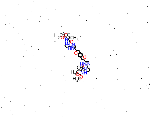 COC(=O)NC(C(=O)N1CCCC1c1ncc(C2Cc3cc4c(cc3O2)CC(c2cnc(C3CCCN3C(=O)[C@@H](NC(=O)OC)C(C)C)[nH]2)O4)[nH]1)C(C)C